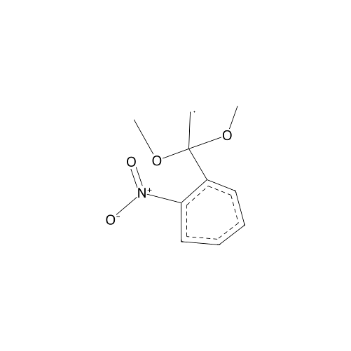 [CH2]C(OC)(OC)c1ccccc1[N+](=O)[O-]